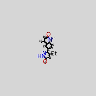 CCC1CC(=O)NN=C1c1ccc2c(c1)c(C)cc(=O)n2C